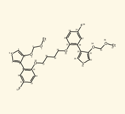 CCOCOc1cscc1-c1cc(F)ccc1OCCCCOc1ccc(F)cc1-c1cscc1OCOCC